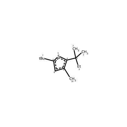 CCC(C)(C)c1sc(C(C)(C)C)cc1C